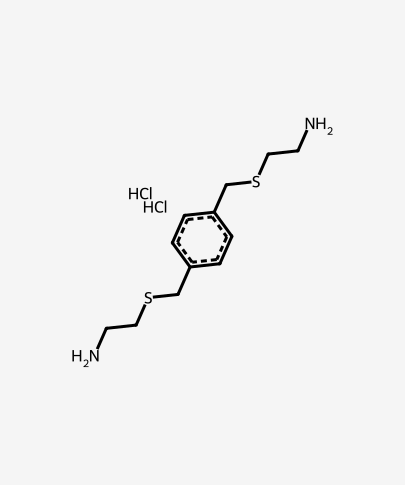 Cl.Cl.NCCSCc1ccc(CSCCN)cc1